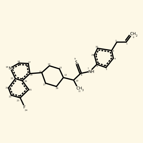 C=CCc1ccc(NC(=S)C(C)C2CCC(c3ccnc4ccc(F)cc34)CC2)cc1